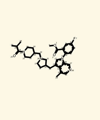 COC(=O)c1cc(F)ccc1-n1cc(CC2CCN(CC3CCN(C(=O)C(C)C)CC3)C2)c2c(C)cncc21